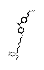 CCO[Si](CCCCCCOc1ccc(C(=O)c2ccc(/C=C/C(=O)O)cc2)cc1)(OCC)OCC